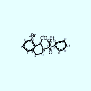 CCOC(=O)C1c2c(Br)cccc2CCN1S(=O)(=O)c1ccccc1